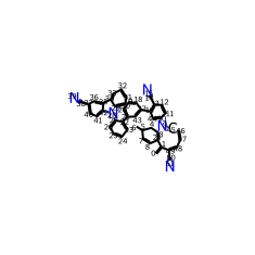 C=C1C2=C(CC(C)C=C2)N(c2ccc(C#N)c(-c3cccc(-c4ccccc4-n4c5ccccc5c5cc(C#N)ccc54)c3)c2)C/C=C\C=C/1C#N